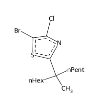 CCCCCCC(C)(CCCCC)c1nc(Cl)c(Br)s1